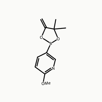 C=C1OB(c2ccc(OC)nc2)OC1(C)C